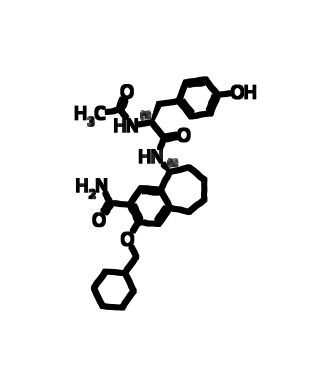 CC(=O)N[C@@H](Cc1ccc(O)cc1)C(=O)N[C@H]1CCCCc2cc(OCC3CCCCC3)c(C(N)=O)cc21